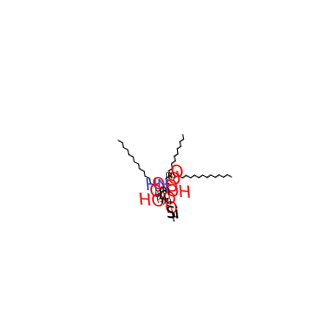 CCCCCCCCCCCCCC(=O)O[C@H](CCCCCCCCCCC)CC(=O)N[C@H]1C(O)O[C@H](CO[Si](C)(C)C(C)(C)C)[C@@H](O)[C@@H]1OC(=O)CCCCCCCCCCCCC